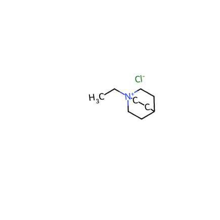 CC[N+]12CCC(CC1)CC2.[Cl-]